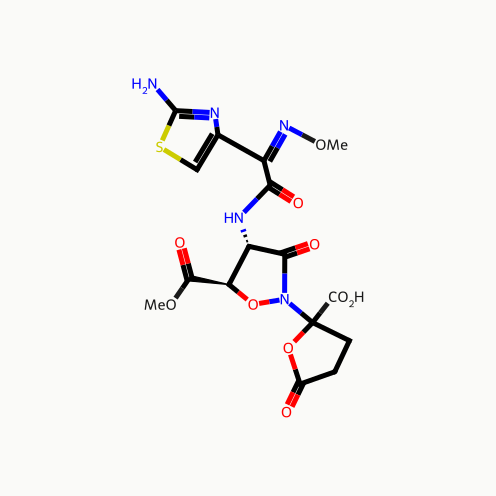 CO/N=C(\C(=O)N[C@@H]1C(=O)N(C2(C(=O)O)CCC(=O)O2)O[C@H]1C(=O)OC)c1csc(N)n1